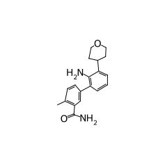 Cc1ccc(-c2cccc(C3CCOCC3)c2N)cc1C(N)=O